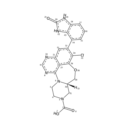 O=C(O)N1CCN2c3ncnc4cc(-c5cccc6[nH]c(=O)[nH]c56)c(Cl)c(c34)OC[C@@H]2C1